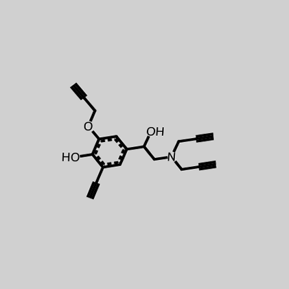 C#CCOc1cc(C(O)CN(CC#C)CC#C)cc(C#C)c1O